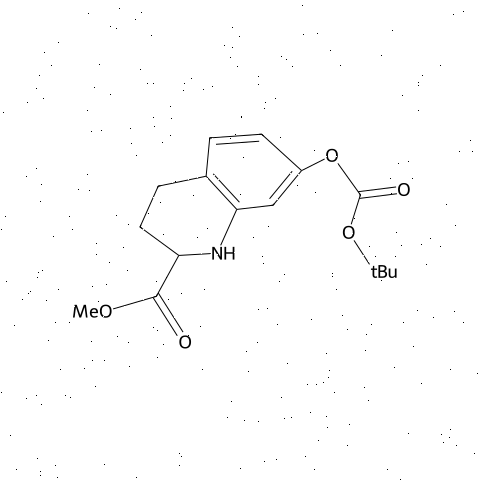 COC(=O)C1CCc2ccc(OC(=O)OC(C)(C)C)cc2N1